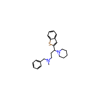 CN(CCC(c1cc2ccccc2s1)N1CCCCC1)Cc1ccccc1